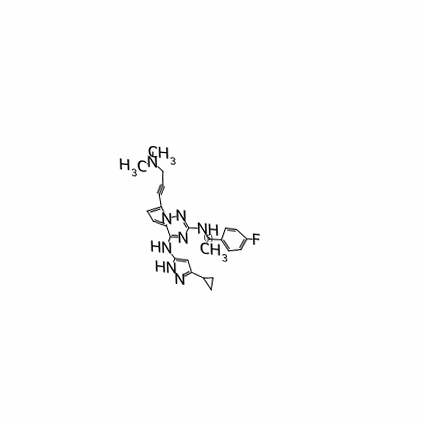 C[C@H](Nc1nc(Nc2cc(C3CC3)n[nH]2)c2ccc(C#CCN(C)C)n2n1)c1ccc(F)cc1